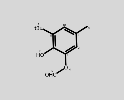 Cc1cc(OC=O)c(O)c(C(C)(C)C)c1